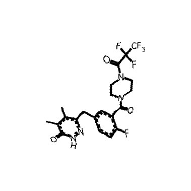 Cc1c(Cc2ccc(F)c(C(=O)N3CCN(C(=O)C(F)(F)C(F)(F)F)CC3)c2)n[nH]c(=O)c1C